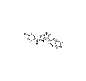 OC1CCC(Nc2nn3c(-c4ccc5ccccc5c4)cnc3s2)CC1